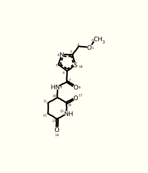 COCc1ncc(C(=O)NC2CCC(=O)NC2=O)s1